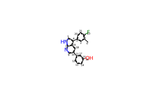 Cc1cc(-c2c[nH]c3ncc(-c4cccc(O)c4)cc23)ccc1F